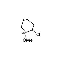 CO[C@@H]1C[CH]CCC1Cl